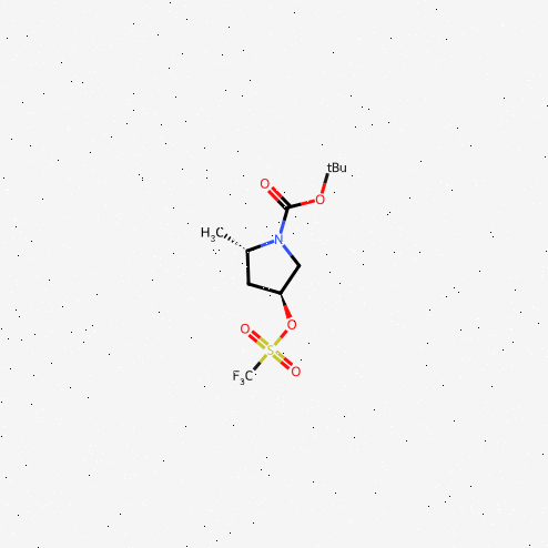 C[C@H]1C[C@H](OS(=O)(=O)C(F)(F)F)CN1C(=O)OC(C)(C)C